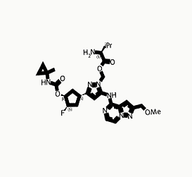 COCc1cc2c(Nc3cc([C@@H]4C[C@H](F)[C@H](OC(=O)NC5(C)CC5)C4)nn3COC(=O)[C@@H](N)C(C)C)nccn2n1